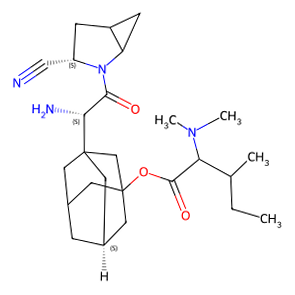 CCC(C)C(C(=O)OC12CC3C[C@H](C1)CC([C@H](N)C(=O)N1C4CC4C[C@H]1C#N)(C3)C2)N(C)C